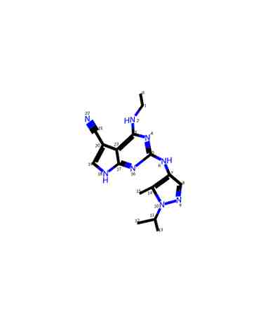 CCNc1nc(Nc2cnn(C(C)C)c2C)nc2[nH]cc(C#N)c12